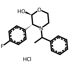 CC(c1ccccc1)N1CCO[C@H](O)[C@H]1c1ccc(F)cc1.Cl